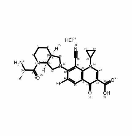 C[C@H](N)C(=O)N1CCC[C@H]2CN(c3c(F)cc4c(=O)c(C(=O)O)cn(C5CC5)c4c3C#N)C[C@H]21.Cl